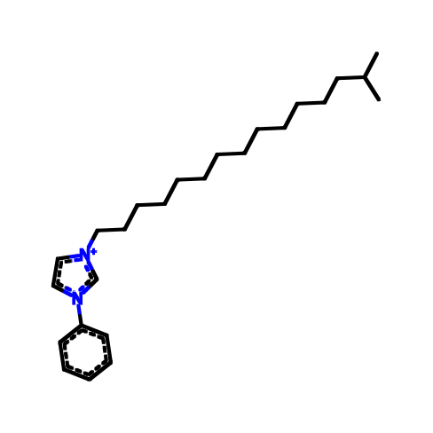 CC(C)CCCCCCCCCCCCC[n+]1ccn(-c2ccccc2)c1